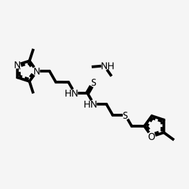 CNC.Cc1ccc(CSCCNC(=S)NCCCn2c(C)cnc2C)o1